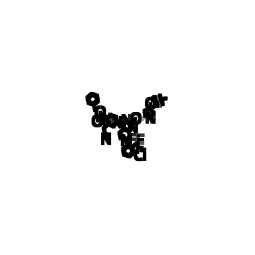 CN1C[C@H](O[Si](C)(C)C(C)(C)C)C[C@H]1COc1nc2c(c(N3CCN(C(=O)OCc4ccccc4)C(CC#N)C3)n1)CCN(c1cccc(Cl)c1C(F)(F)F)C2